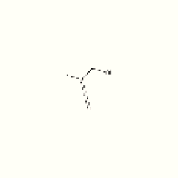 [CH2]C(=C=C)CO